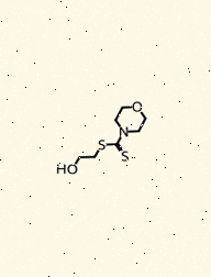 OCCSC(=S)N1CCOCC1